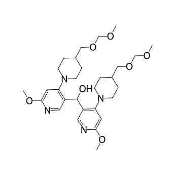 COCOCC1CCN(c2cc(OC)ncc2C(O)c2cnc(OC)cc2N2CCC(COCOC)CC2)CC1